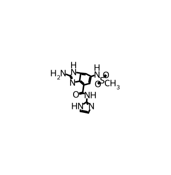 CS(=O)(=O)Nc1cc(C(=O)Nc2ncc[nH]2)c2nc(N)[nH]c2c1